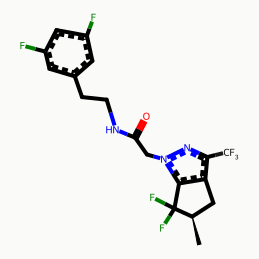 C[C@@H]1Cc2c(C(F)(F)F)nn(CC(=O)NCCc3cc(F)cc(F)c3)c2C1(F)F